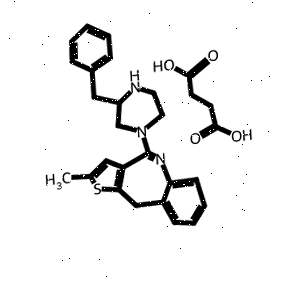 Cc1cc2c(s1)Cc1ccccc1N=C2N1CCNC(Cc2ccccc2)C1.O=C(O)CCC(=O)O